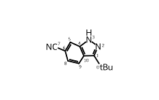 CC(C)(C)c1n[nH]c2cc(C#N)ccc12